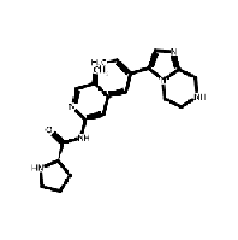 C=c1cnc(NC(=O)[C@H]2CCCN2)c/c1=C/C(=C\C)c1cnc2n1CCNC2